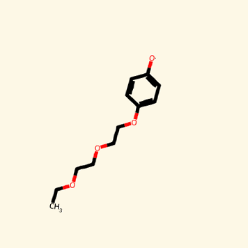 CCOCCOCCOc1ccc([O])cc1